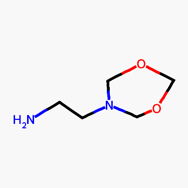 NCCN1COCOC1